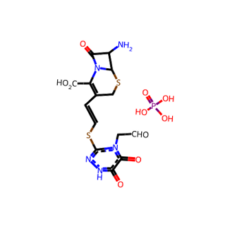 NC1C(=O)N2C(C(=O)O)=C(C=CSc3n[nH]c(=O)c(=O)n3CC=O)CSC12.O=P(O)(O)O